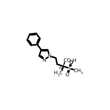 C[C@@](CCn1cc(-c2ccccc2)cn1)(C(=O)O)S(C)(=O)=O